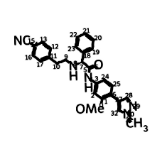 COc1cc(NC(=O)[C@@H](NCCc2ccc(C#N)cc2)c2ccccc2)ccc1-c1cnn(C)c1